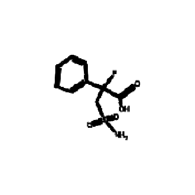 NS(=O)(=O)CC(F)(C(=O)O)c1ccccc1